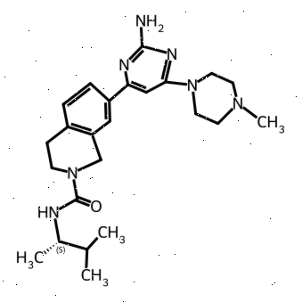 CC(C)[C@H](C)NC(=O)N1CCc2ccc(-c3cc(N4CCN(C)CC4)nc(N)n3)cc2C1